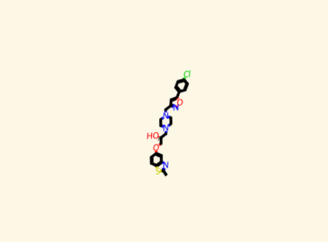 Cc1nc2cc(OC[C@H](O)CN3CCN(Cc4cc(-c5ccc(Cl)cc5)on4)CC3)ccc2s1